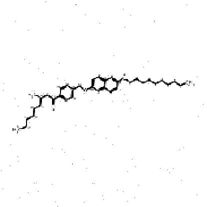 CCCCCCCCCCOc1ccc2cc(OCc3ccc(C(=O)C[C@H](C)CCCCCC)cc3)ccc2c1